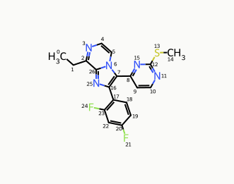 CCc1nccn2c(-c3ccnc(SC)n3)c(-c3ccc(F)cc3F)nc12